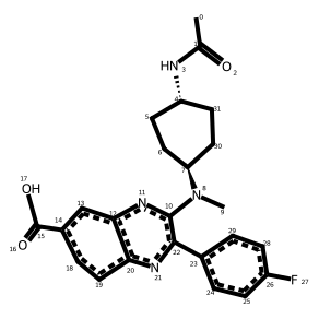 CC(=O)N[C@H]1CC[C@H](N(C)c2nc3cc(C(=O)O)ccc3nc2-c2ccc(F)cc2)CC1